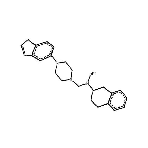 CCCN(CN1CCN(c2ccc3c(c2)C=CC3)CC1)C1CCc2ccccc2C1